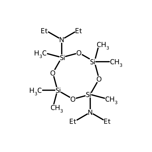 CCN(CC)[Si]1(C)O[Si](C)(C)O[Si](C)(N(CC)CC)O[Si](C)(C)O1